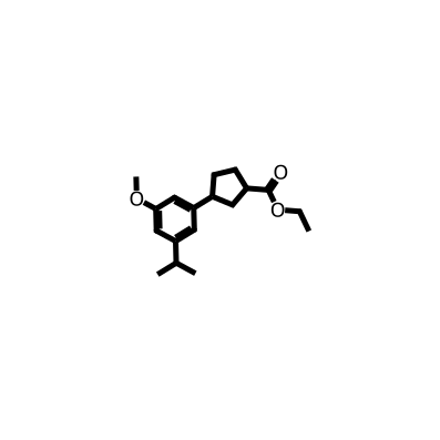 CCOC(=O)C1CCC(c2cc(OC)cc(C(C)C)c2)C1